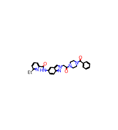 CCc1cccc(C(=O)Nc2ccc3nn(CC(=O)N4CCN(C(=O)c5ccccc5)CC4)cc3c2)n1